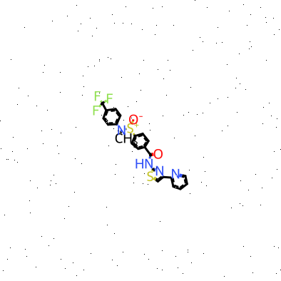 CN(c1ccc(C(F)(F)F)cc1)[S+]([O-])c1ccc(C(=O)Nc2nc(-c3ccccn3)cs2)cc1